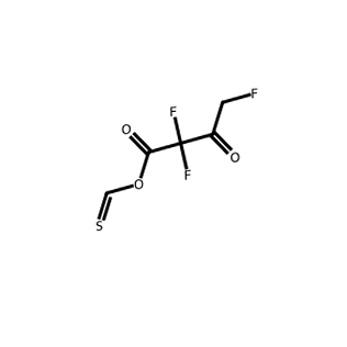 O=C(CF)C(F)(F)C(=O)OC=S